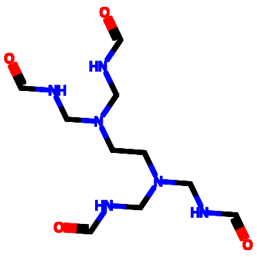 O=CNCN(CCN(CNC=O)CNC=O)CNC=O